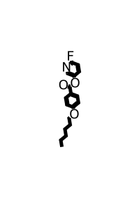 CCCCCCOc1ccc(C(=O)Oc2ccc(F)nc2)cc1